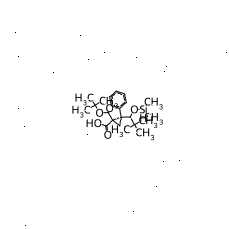 C[SiH](C)OC(C(C)(C)C)C1(c2ccccc2)CC1(C(=O)O)C(=O)OC(C)(C)C